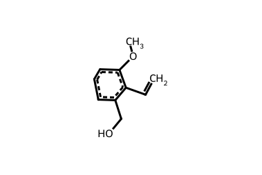 C=Cc1c(CO)cccc1OC